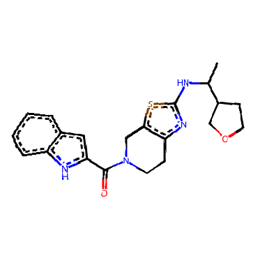 CC(Nc1nc2c(s1)CN(C(=O)c1cc3ccccc3[nH]1)CC2)C1CCOC1